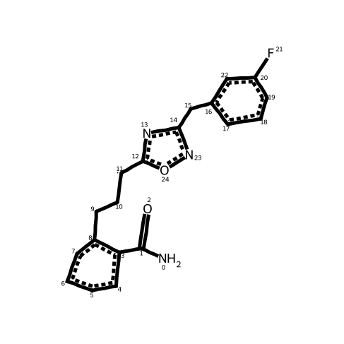 NC(=O)c1ccccc1CC[CH]c1nc(Cc2cccc(F)c2)no1